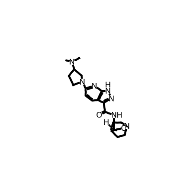 CN(C)C1CCN(c2ccc3c(C(=O)N[C@@H]4CN5CCC4CC5)n[nH]c3n2)C1